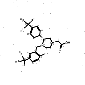 O=C(O)C[C@H]1CCN(Cc2cc(C(F)(F)F)ccc2F)[C@@H](C2C=CC(C(F)(F)F)=CC2)C1